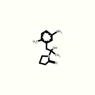 Cc1ccc(N)cc1CC(C)(O)N1CCCC1=O